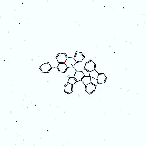 c1ccc(-c2ccc(N(c3ccccc3-c3ccccc3)c3cc4c(c5c3sc3ccccc35)-c3ccccc3C43c4ccccc4-c4ccccc43)cc2)cc1